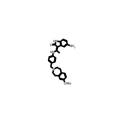 COc1ccc2c(c1)CCN(Cc1ccc(N/C(C)=C3\C(=O)Nc4ccc(N)cc43)cc1)CC2